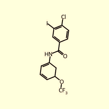 O=C(NC1=CC=CC(OC(F)(F)F)C1)c1ccc(Cl)c(I)c1